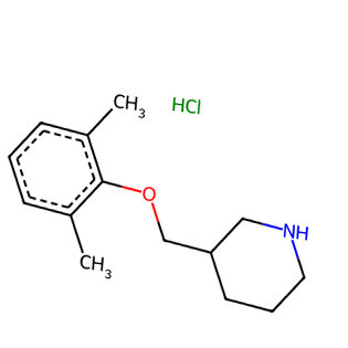 Cc1cccc(C)c1OCC1CCCNC1.Cl